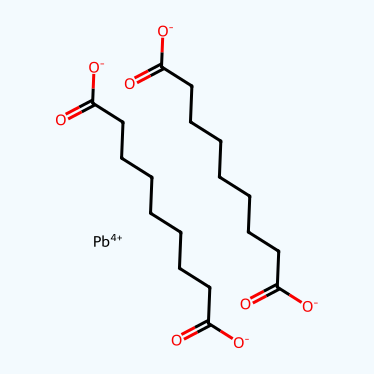 O=C([O-])CCCCCCCC(=O)[O-].O=C([O-])CCCCCCCC(=O)[O-].[Pb+4]